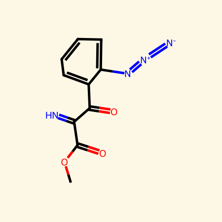 COC(=O)C(=N)C(=O)c1ccccc1N=[N+]=[N-]